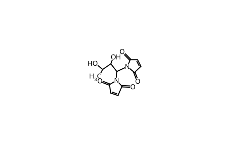 CC(O)C(O)C(N1C(=O)C=CC1=O)N1C(=O)C=CC1=O